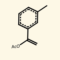 C=C(OC(C)=O)c1cccc(C)c1